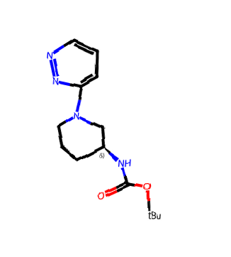 CC(C)(C)OC(=O)N[C@H]1CCCN(c2cccnn2)C1